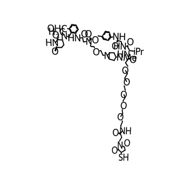 CNC1CCN(CCOCCN(CC(=O)Nc2cccc(C=O)c2CN(C)C2CCC(=O)NC2=O)C(=O)OCc2ccc(NC(=O)CNC(=O)C(NC(=O)CCOCCOCCOCCOCCOCCNC(=O)CCN3C(=O)CC(S)C3=O)C(C)C)cc2)CC1